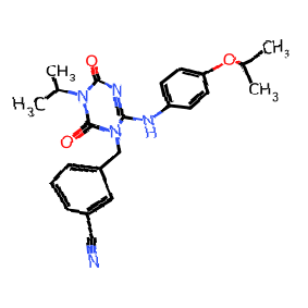 CC(C)Oc1ccc(Nc2nc(=O)n(C(C)C)c(=O)n2Cc2cccc(C#N)c2)cc1